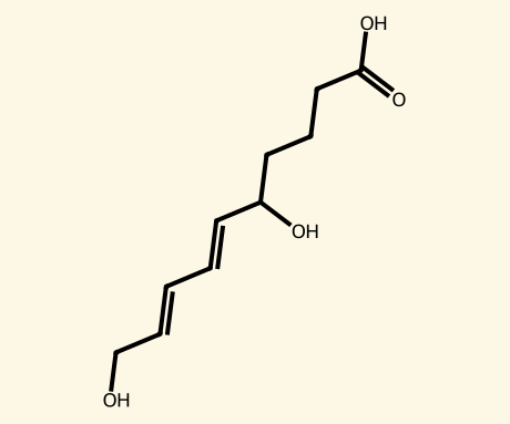 O=C(O)CCCC(O)C=CC=CCO